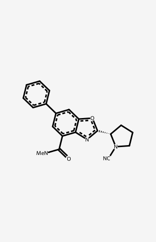 CNC(=O)c1cc(-c2ccccc2)cc2oc([C@@H]3CCCN3C#N)nc12